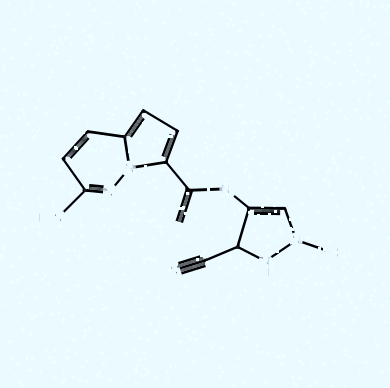 CN1C=C(NC(=O)c2ccc3ccc(N)nn23)C(C#N)N1